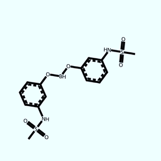 CS(=O)(=O)Nc1cccc(OBOc2cccc(NS(C)(=O)=O)c2)c1